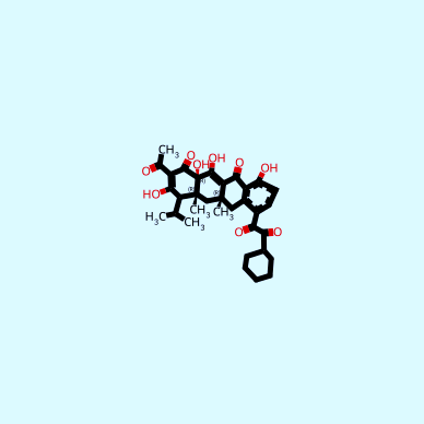 CC(=O)C1=C(O)C(C(C)C)[C@@]2(C)C[C@@]3(C)Cc4c(C(=O)C(=O)C5CCCCC5)ccc(O)c4C(=O)C3=C(O)[C@@]2(O)C1=O